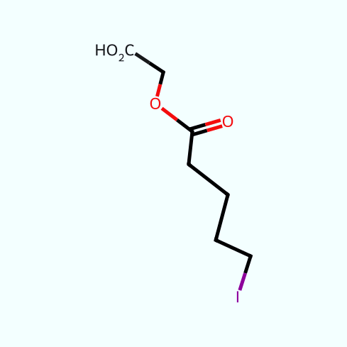 O=C(O)COC(=O)CCCCI